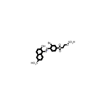 O=S(=O)(O)OCCS(=O)(=O)c1ccc(/N=N/c2c(O)ccc3cc(S(=O)(=O)O)ccc23)c(Br)c1